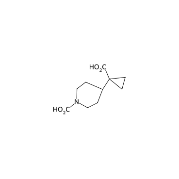 O=C(O)N1CCC(C2(C(=O)O)CC2)CC1